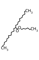 CCCCCCCCCCCCC(CCCCCCCCCC)C(=O)OCCCCCC